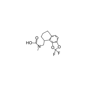 CN(CC1CCCc2ccc3c(c21)OC(F)(F)O3)C(=O)O